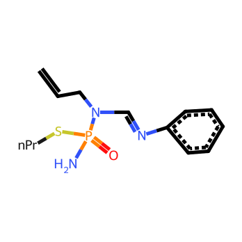 C=CCN(C=Nc1ccccc1)P(N)(=O)SCCC